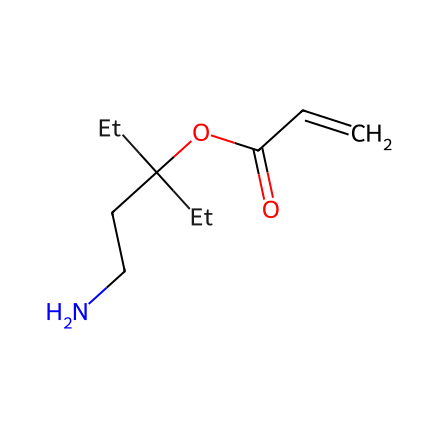 C=CC(=O)OC(CC)(CC)CCN